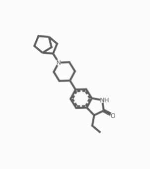 CCC1C(=O)Nc2cc(C3CCN(C4CC5CCC4C5)CC3)ccc21